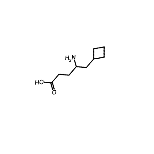 NC(CCC(=O)O)CC1CCC1